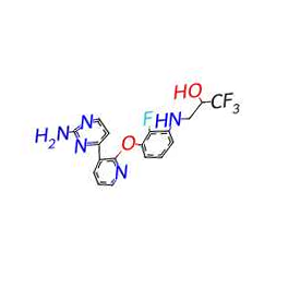 Nc1nccc(-c2cccnc2Oc2cccc(NCC(O)C(F)(F)F)c2F)n1